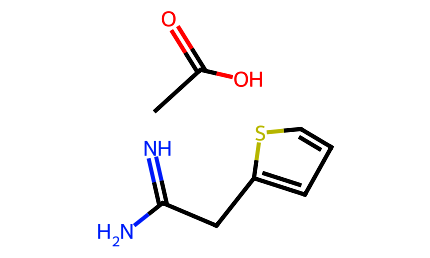 CC(=O)O.N=C(N)Cc1cccs1